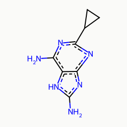 Nc1nc2nc(C3CC3)nc(N)c2[nH]1